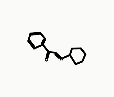 O=C(C=NC1CCCCC1)c1ccccc1